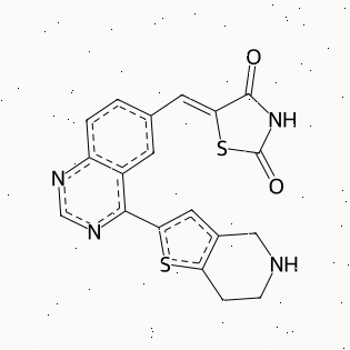 O=C1NC(=O)C(=Cc2ccc3ncnc(-c4cc5c(s4)CCNC5)c3c2)S1